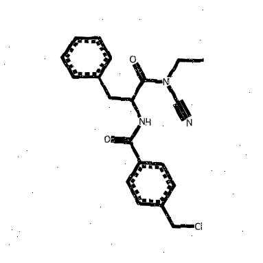 CCN(C#N)C(=O)C(Cc1ccccc1)NC(=O)c1ccc(CCl)cc1